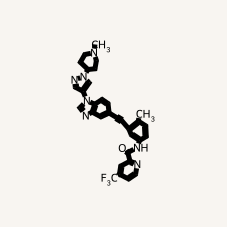 Cc1ccc(NC(=O)c2cc(C(F)(F)F)ccn2)cc1C#Cc1ccc2c(c1)ncn2-c1cnn(C2CCN(C)CC2)c1